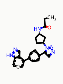 CCC(=O)N[C@H]1CCC(n2nncc2-c2ccc(-c3cccc4[nH]ncc34)cc2)C1